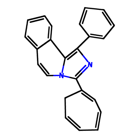 C1=CC=C(c2nc(-c3ccccc3)c3c4ccccc4ccn23)CC=C1